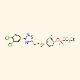 CCOC(=O)C(C)(C)Oc1ccc(SCCc2nc(-c3ccc(Cl)c(Cl)c3)ns2)cc1C